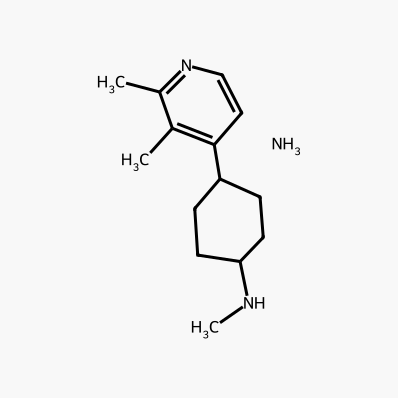 CNC1CCC(c2ccnc(C)c2C)CC1.N